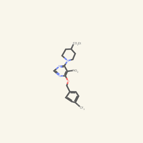 CCOC(=O)C1CCN(c2ncnc(OCc3ccc(C(F)(F)F)cc3)c2[N+](=O)[O-])CC1